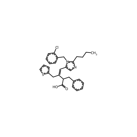 CCCCc1ncc(C=C(Cc2cccs2)C(Cc2ccccc2)C(=O)O)n1Cc1ccccc1Cl